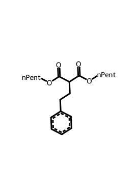 CCCCCOC(=O)C(CCc1ccccc1)C(=O)OCCCCC